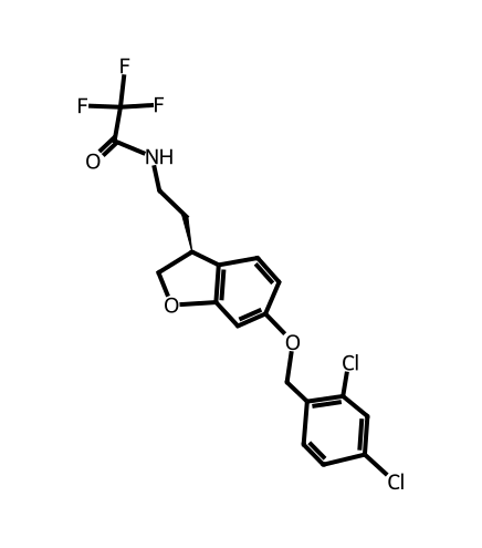 O=C(NCC[C@@H]1COc2cc(OCc3ccc(Cl)cc3Cl)ccc21)C(F)(F)F